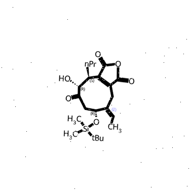 C/C=C1/CC2=C(C(=O)OC2=O)[C@H](CCC)[C@@H](O)C(=O)C[C@H]1O[Si](C)(C)C(C)(C)C